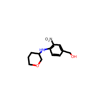 O=[N+]([O-])c1cc(CO)ccc1NC1CCCOC1